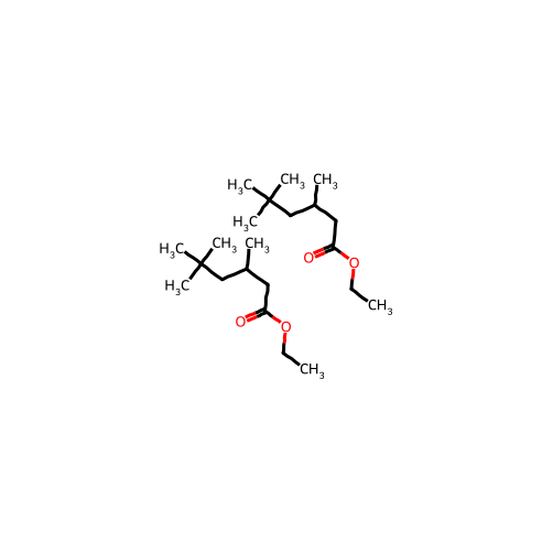 CCOC(=O)CC(C)CC(C)(C)C.CCOC(=O)CC(C)CC(C)(C)C